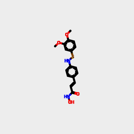 COc1ccc(SNc2ccc(/C=C/C(=O)NO)cc2)cc1OC